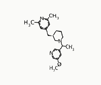 COc1cncc(C(C)N2CCC[C@H](Cc3cc(C)nc(C)c3)C2)c1